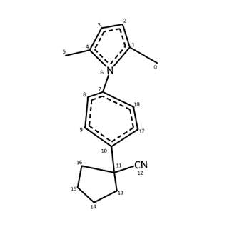 Cc1ccc(C)n1-c1ccc(C2(C#N)CCCC2)cc1